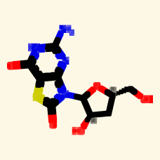 Nc1nc2c(sc(=O)n2C2O[C@H](CO)C[C@H]2O)c(=O)[nH]1